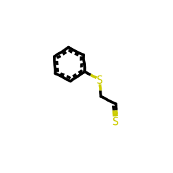 S=CCSc1ccccc1